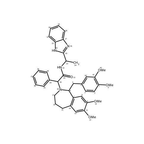 COc1ccc(CC2c3cc(OC)c(OC)cc3CCCN2C(C(=O)NC(C)c2nc3ccccc3[nH]2)c2ccccc2)cc1OC